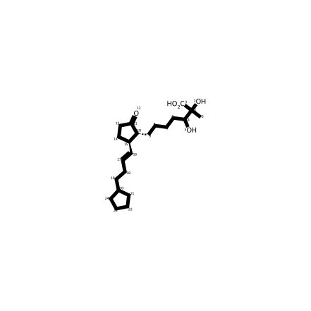 CC(O)(C(=O)O)C(O)CCCC[C@H]1C(=O)CC[C@@H]1/C=C/CCC1CCCC1